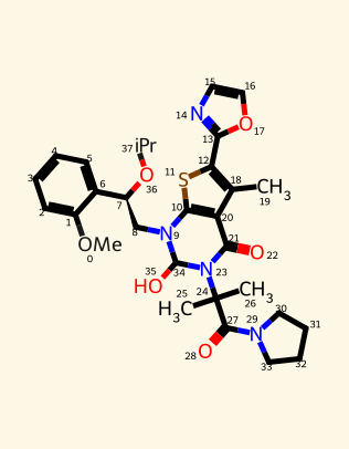 COc1ccccc1[C@H](CN1c2sc(-c3ncco3)c(C)c2C(=O)N(C(C)(C)C(=O)N2CCCC2)C1O)OC(C)C